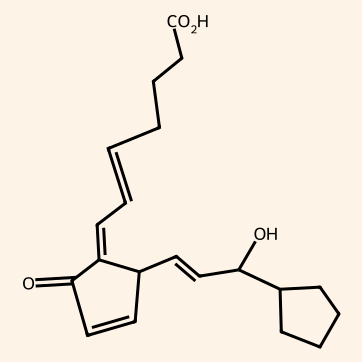 O=C(O)CCCC=CC=C1C(=O)C=CC1C=CC(O)C1CCCC1